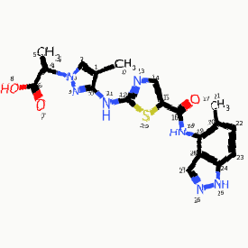 Cc1cn(C(C)C(=O)O)nc1Nc1ncc(C(=O)Nc2c(C)ccc3[nH]ncc23)s1